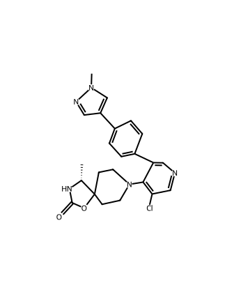 C[C@H]1NC(=O)OC12CCN(c1c(Cl)cncc1-c1ccc(-c3cnn(C)c3)cc1)CC2